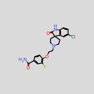 NC(=O)c1ccc(OCCN2CCC3(CC2)C(=O)Nc2ccc(Cl)cc23)c(F)c1